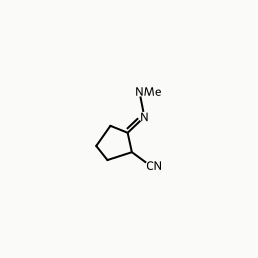 CN/N=C1\CCCC1C#N